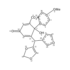 COc1ccc(C2(O)C(C(=O)O)=CC(=O)C=C2C(C2=COCO2)c2ccoc2)cc1